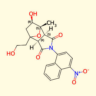 C[C@@]12OC(CCO)(C[C@H]1O)[C@@H]1C(=O)N(c3ccc([N+](=O)[O-])c4ccccc34)C(=O)[C@@H]12